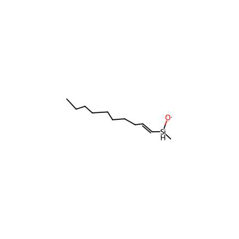 CCCCCCCC/C=C/[SiH](C)[O]